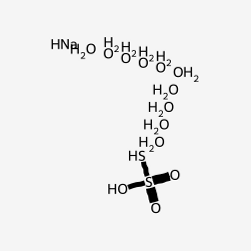 O.O.O.O.O.O.O.O.O.O.O=S(=O)(O)S.[NaH]